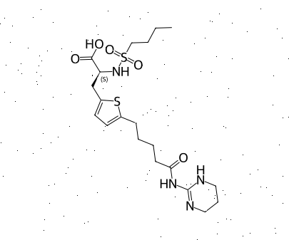 CCCCS(=O)(=O)N[C@@H](Cc1ccc(CCCCC(=O)NC2=NCCCN2)s1)C(=O)O